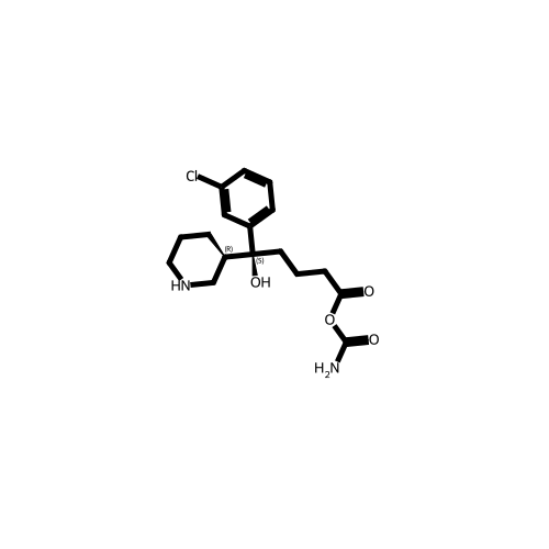 NC(=O)OC(=O)CCC[C@@](O)(c1cccc(Cl)c1)[C@@H]1CCCNC1